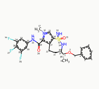 C[C@@H](OCc1ccccc1)[C@H]1CCc2c(cn(C)c2C(=O)Nc2cc(F)c(F)c(F)c2)S(=N)(=O)N1